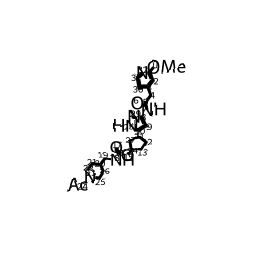 COc1cc(CC(=O)Nc2cc([C@@H]3CCC(OC(=O)NCC4CCN(C(C)=O)CC4)C3)[nH]n2)ccn1